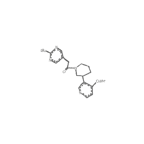 COc1ccncc1C1CCCN(C(=O)Cc2cnc(C(C)(C)C)nc2)C1